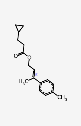 C/C(=C\COC(=O)CCC1CC1)c1ccc(C)cc1